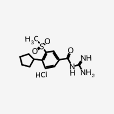 CS(=O)(=O)c1cc(C(=O)NC(=N)N)ccc1C1CCCC1.Cl